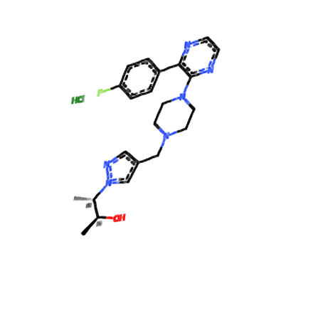 C[C@H](O)[C@H](C)n1cc(CN2CCN(c3nccnc3-c3ccc(F)cc3)CC2)cn1.Cl